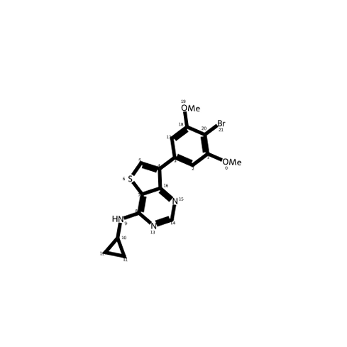 COc1cc(-c2csc3c(NC4CC4)ncnc23)cc(OC)c1Br